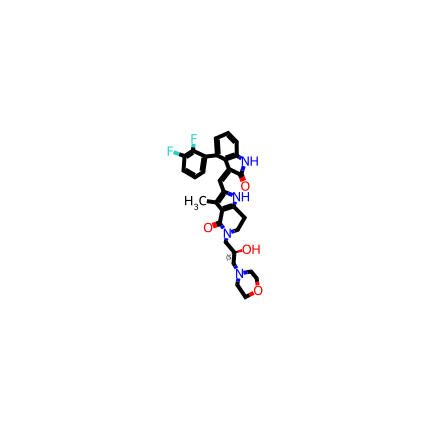 Cc1c(C=C2C(=O)Nc3cccc(-c4cccc(F)c4F)c32)[nH]c2c1C(=O)N(C[C@@H](O)CN1CCOCC1)CC2